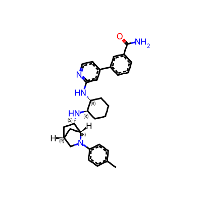 Cc1ccc(N2C[C@@H]3C[C@H](N[C@@H]4CCCC[C@H]4Nc4cc(-c5cccc(C(N)=O)c5)ccn4)[C@H]2C3)cc1